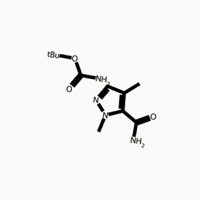 CC(C)(C)OC(N)=O.Cc1cnn(C)c1C(N)=O